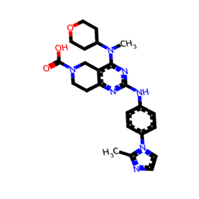 Cc1nccn1-c1ccc(Nc2nc3c(c(N(C)C4CCOCC4)n2)CN(C(=O)O)CC3)cc1